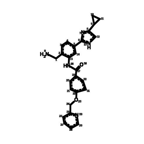 NCc1ccc(-c2nc(C3CC3)c[nH]2)cc1NC(=O)c1ccc(OCc2ccccn2)cc1